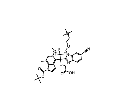 COc1cc(C)c2c(ccn2C(=O)OC(C)(C)C)c1C(OCC(=O)O)(c1nc2ccc(C#N)cc2n1COCC[Si](C)(C)C)C(F)(F)F